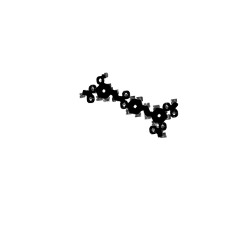 COc1cc(C=CC(=O)Oc2ccc(/C=C/c3cc(OC(C)=O)cc(OC(C)=O)c3)cc2)ccc1OC(C)=O